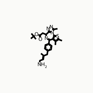 C/C(=C\CN)Cc1ccc(C2=NC(CC(=O)OC(C)(C)C)c3nnc(C)n3-c3sc(C)c(C)c32)cc1